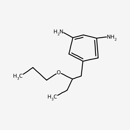 CCCOC(CC)Cc1cc(N)cc(N)c1